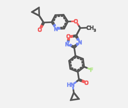 CC(Oc1ccc(C(=O)C2CC2)nc1)c1nc(-c2ccc(C(=O)NC3CC3)c(F)c2)no1